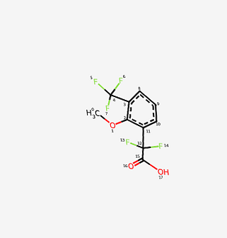 COc1c(C(F)(F)F)cccc1C(F)(F)C(=O)O